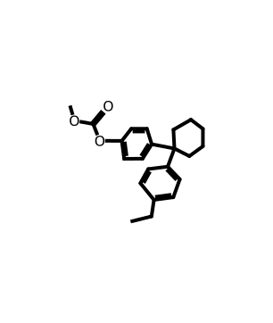 CCc1ccc(C2(c3ccc(OC(=O)OC)cc3)CCCCC2)cc1